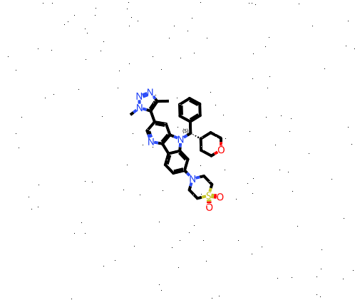 Cc1nnn(C)c1-c1cnc2c3ccc(N4CCS(=O)(=O)CC4)cc3n([C@H](c3ccccc3)C3CCOCC3)c2c1